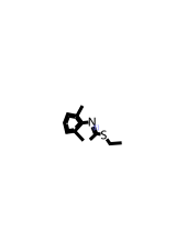 CCS/C(C)=N/c1c(C)cccc1C